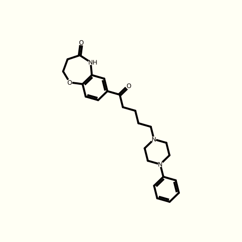 O=C1CCOc2ccc(C(=O)CCCCN3CCN(c4ccccc4)CC3)cc2N1